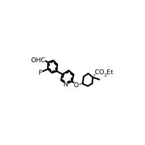 CCOC(=O)[C@]1(C)CC[C@H](Oc2ccc(-c3ccc(C=O)c(F)c3)cn2)CC1